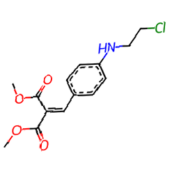 COC(=O)C(=Cc1ccc(NCCCl)cc1)C(=O)OC